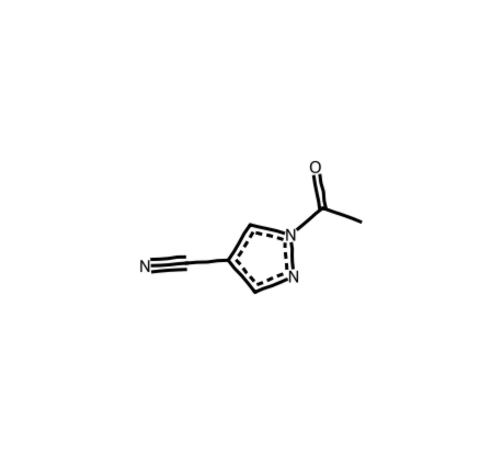 CC(=O)n1cc(C#N)cn1